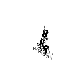 COC(=O)C(C)(C)c1cc(-n2c3nc(Nc4ccc5c(c4)CCNC5)ncc3c(=O)n2C(C)C)ccn1